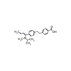 C=C/C=C(/c1cc[n+](CCc2ccc(C(=O)O)cc2)cc1)N(C)C(C)C